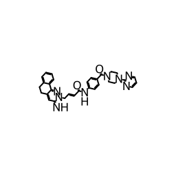 N=c1cc2c(nn1C/C=C/C(=O)Nc1ccc(C(=O)N3CCN(c4ncccn4)CC3)cc1)-c1ccccc1CC2